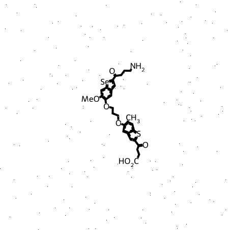 COc1cc2[se]c(C(=O)CCCN)cc2cc1OCCCOc1cc2cc(C(=O)CCC(=O)O)sc2cc1C